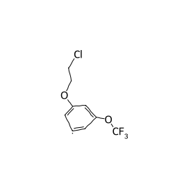 FC(F)(F)Oc1c[c]cc(OCCCl)c1